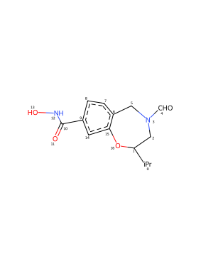 CC(C)C1CN(C=O)Cc2ccc(C(=O)NO)cc2O1